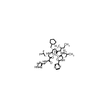 CC[C@H](C)[C@H](NC(=O)[C@H](CC(C)C)NC(=O)c1cnccn1)C(=O)N[C@@H](CC1CCCCC1)C(=O)N[C@@H](CC(F)F)C(=O)C(=O)NCc1nn[nH]n1